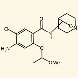 COC(C)Oc1cc(N)c(Cl)cc1C(=O)NC1CN2CCC1CC2